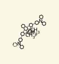 CC1(C)c2cc(-c3ccc(N(C4=CC=CCC4)c4ccccc4)cc3)ccc2-c2c1c1c(c3ccccc23)-c2ccc(-c3ccc(N(c4ccccc4)c4ccccc4)cc3)cc2C1(C)C